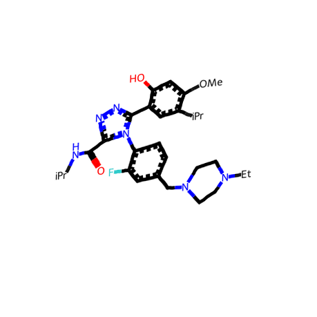 CCN1CCN(Cc2ccc(-n3c(C(=O)NC(C)C)nnc3-c3cc(C(C)C)c(OC)cc3O)c(F)c2)CC1